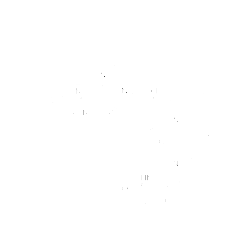 COc1nc(-c2cccc(-c3cccc(-c4cnc(C5=NC[C@H](C)N5)c(OC)n4)c3Cl)c2Cl)ccc1CNC[C@@H]1CCC(=O)N1